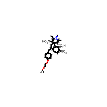 CCOCCOc1ccc(C=CCC2(c3cccc([N+](=O)[O-])c3)C(C(=O)O)=C(C)N(C)C(C)=C2C(=O)O)cc1